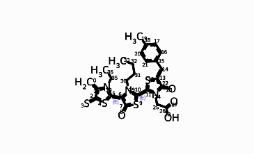 C=c1c(=S)s/c(=c2\c(=O)s/c(=c3/sc(=Cc4ccc(C)cc4)c(=O)n3CC(=O)O)n2CCCC)n1CC